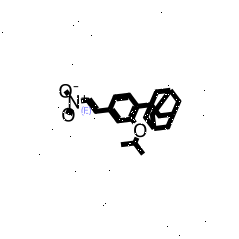 CC(C)Oc1cc(/C=C/[N+](=O)[O-])ccc1C12CC3CC(CC(C3)C1)C2